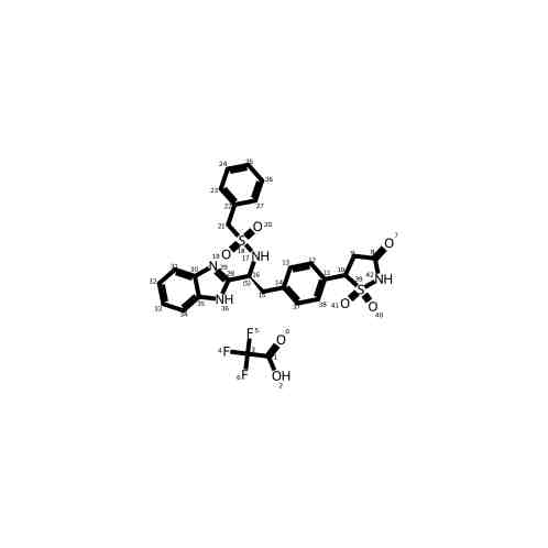 O=C(O)C(F)(F)F.O=C1CC(c2ccc(C[C@H](NS(=O)(=O)Cc3ccccc3)c3nc4ccccc4[nH]3)cc2)S(=O)(=O)N1